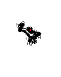 NC(=O)CC[C@H](NC(=O)[C@@H]1Cc2cccc3c2N1C(=O)[C@@H](NC(=O)c1cc2cc(C(F)(F)P(=O)(O)O)ccc2s1)CC3)C(=O)N[C@H](C(=O)NCCCCCCCCCC#Cc1cccc2c1CN(C1CCC(=O)NC1=O)C2=O)c1ccccc1